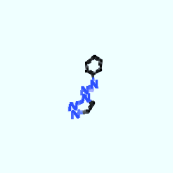 c1ccc(/N=N/n2ccnn2)cc1